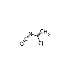 C=C(Cl)N=C=O